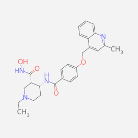 CCN1CC[C@@H](NC(=O)c2ccc(OCc3cc(C)nc4ccccc34)cc2)[C@@H](C(=O)NO)C1